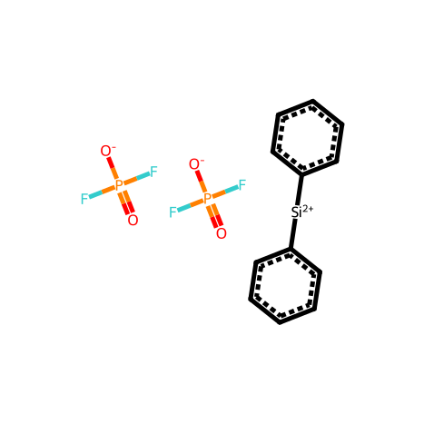 O=P([O-])(F)F.O=P([O-])(F)F.c1ccc([Si+2]c2ccccc2)cc1